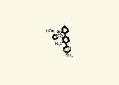 Cc1cc(-c2ccccc2S(=O)(=O)N2CCC[C@@H]2CO)ccc1-c1cnc(N)cn1